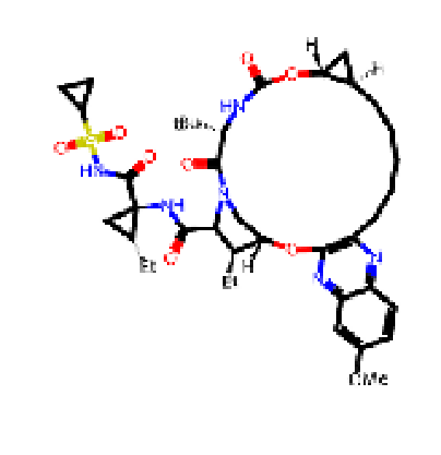 CC[C@@H]1[C@@H]2CN(C(=O)[C@H](C(C)(C)C)NC(=O)O[C@@H]3C[C@H]3CCCCCc3nc4ccc(OC)cc4nc3O2)[C@@H]1C(=O)N[C@]1(C(=O)NS(=O)(=O)C2CC2)C[C@H]1CC